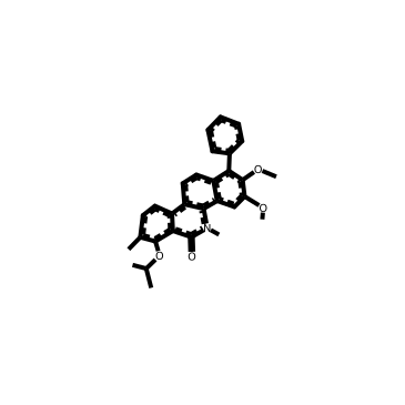 COc1cc2c(ccc3c4ccc(C)c(OC(C)C)c4c(=O)n(C)c23)c(-c2ccccc2)c1OC